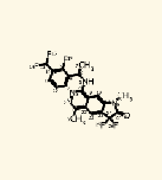 Cc1nnc(NC(C)c2cccc(C(F)F)c2F)c2cc3c(cc12)C(F)(F)C(=O)N3C